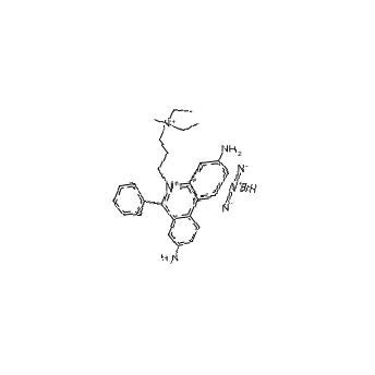 Br.CC[N+](C)(CC)CCC[n+]1c(-c2ccccc2)c2cc(N)ccc2c2ccc(N)cc21.[N-]=[N+]=[N-]